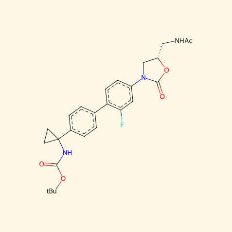 CC(=O)NC[C@H]1CN(c2ccc(-c3ccc(C4(NC(=O)OC(C)(C)C)CC4)cc3)c(F)c2)C(=O)O1